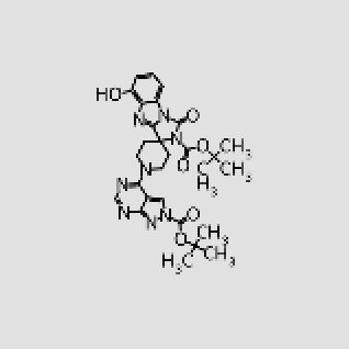 CC(C)(C)OC(=O)N1C(=O)n2c(nc3c(O)cccc32)C12CCN(c1ncnc3nn(C(=O)OC(C)(C)C)cc13)CC2